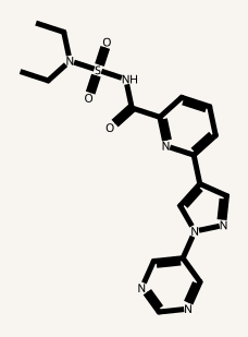 CCN(CC)S(=O)(=O)NC(=O)c1cccc(-c2cnn(-c3cncnc3)c2)n1